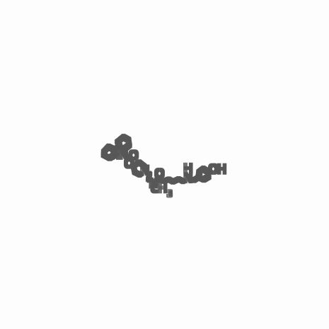 CN(CCN1CCC(OC(=O)Nc2ccccc2-c2ccccc2)CC1)C(=O)CCCCCNCc1ccc(O)cc1